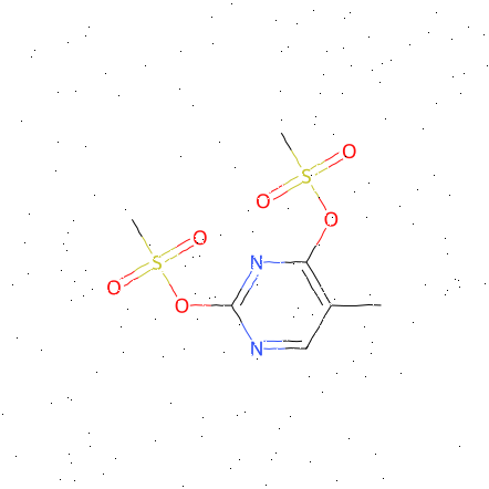 Cc1cnc(OS(C)(=O)=O)nc1OS(C)(=O)=O